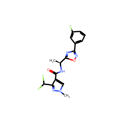 C[C@H](NC(=O)c1cn(C)nc1C(F)F)c1nc(-c2cccc(F)c2)no1